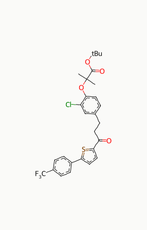 CC(C)(C)OC(=O)C(C)(C)Oc1ccc(CCC(=O)c2ccc(-c3ccc(C(F)(F)F)cc3)s2)cc1Cl